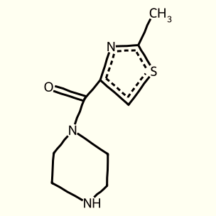 Cc1nc(C(=O)N2CCNCC2)cs1